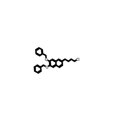 ClCCCCc1ccc2cc(OCc3ccccc3)c(OCc3ccccc3)cc2c1